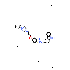 CN1CCN(CCCOc2ccc(SNCC3CCc4[nH]c5ccccc5c4C3)cc2)CC1